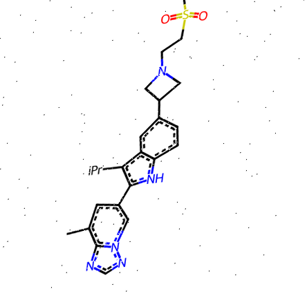 Cc1cc(-c2[nH]c3ccc(C4CN(CCS(C)(=O)=O)C4)cc3c2C(C)C)cn2ncnc12